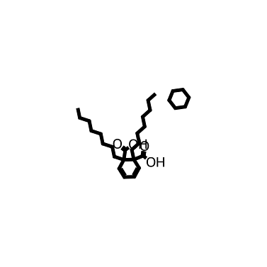 C1CCCCC1.CCCCCCCCC1(C(=O)O)C=CC=CC1(CCCCCCCC)C(=O)O